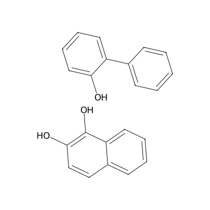 Oc1ccc2ccccc2c1O.Oc1ccccc1-c1ccccc1